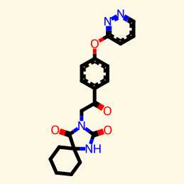 O=C(CN1C(=O)NC2(CCCCC2)C1=O)c1ccc(Oc2cccnn2)cc1